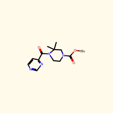 CC(C)(C)OC(=O)N1CCN(C(=O)c2ccncn2)C(C)(C)C1